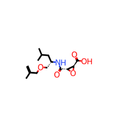 C=C(C)COC[C@H](CC(C)C)NC(=O)[C@H]1O[C@@H]1C(=O)O